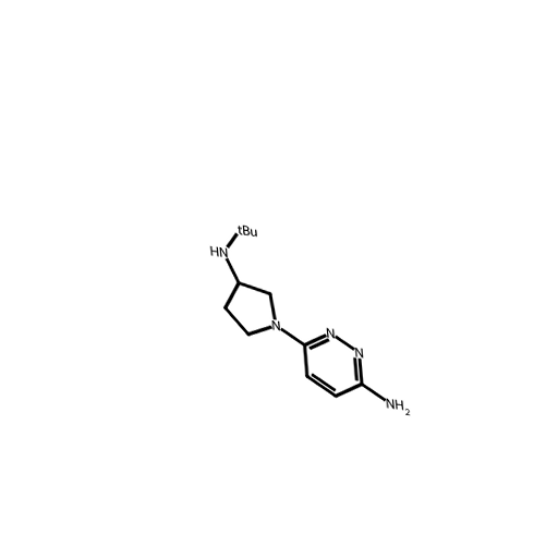 CC(C)(C)NC1CCN(c2ccc(N)nn2)C1